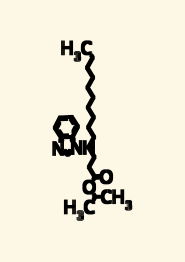 CCCCCCCCCCCCCC(=O)OC(C)C.c1ccc2[nH]cnc2c1